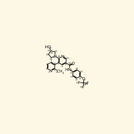 Cc1ncccc1-c1cc(C(=O)Nc2ccc(OC(F)(F)F)cc2)cnc1N1CC[C@@H](O)C1